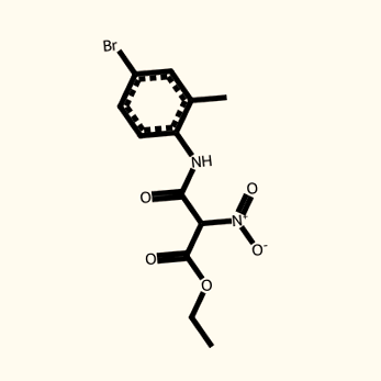 CCOC(=O)C(C(=O)Nc1ccc(Br)cc1C)[N+](=O)[O-]